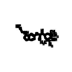 C#CCNC1CCc2ccc(OC(=O)NC3CC(C)(C)N(O)C(C)(C)C3)cc21